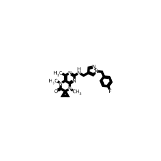 Cc1nc(NCc2cnn(Cc3ccc(F)cc3)c2)nc2c1N(C)C(=O)C1(CC1)N2C